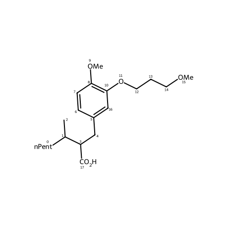 CCCCCC(C)C(Cc1ccc(OC)c(OCCCOC)c1)C(=O)O